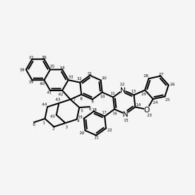 CC1CC2CC(C)C3(c4cc(-c5nc6c(nc5-c5ccccc5)oc5ccccc56)ccc4-c4cc5ccccc5cc43)C(C1)C2